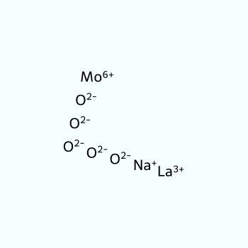 [La+3].[Mo+6].[Na+].[O-2].[O-2].[O-2].[O-2].[O-2]